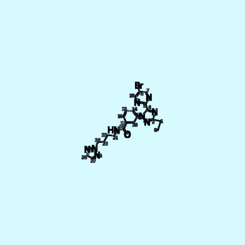 CCc1nc(-c2ncc(Br)cn2)n(-c2cccc(C(=O)NCCCCn3nccn3)c2)n1